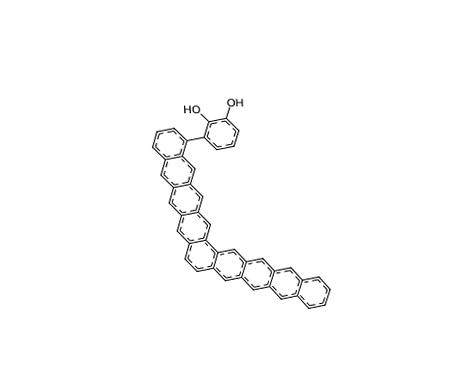 Oc1cccc(-c2cccc3cc4cc5cc6ccc7cc8cc9cc%10ccccc%10cc9cc8cc7c6cc5cc4cc23)c1O